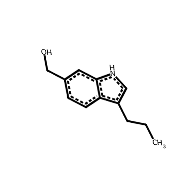 CCCc1c[nH]c2cc(CO)ccc12